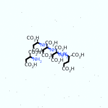 N[C@@H](CC(=O)O)C(=O)O.N[C@@H](CC(=O)O)C(=O)O.N[C@@H](CC(=O)O)C(=O)O.N[C@@H](CC(=O)O)C(=O)O.N[C@@H](CCC(=O)O)C(=O)O